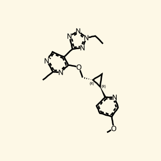 CCn1nnc(-c2cnc(C)nc2OC[C@@H]2C[C@H]2c2ccc(OC)cn2)n1